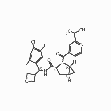 CC(C)c1cc(C(=O)N2[C@@H](C(=O)N[C@@H](c3cc(F)c(Cl)cc3F)C3COC3)C[C@H]3C[C@H]32)ccn1